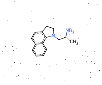 C[C@@H](N)CN1CCc2ccc3ccccc3c21